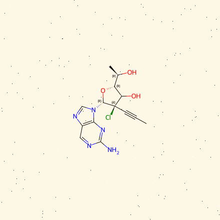 CC#C[C@@]1(Cl)C(O)[C@@H]([C@@H](C)O)O[C@H]1n1cnc2cnc(N)nc21